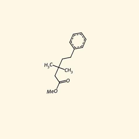 COC(=O)CC(C)(C)CCc1ccccc1